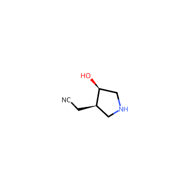 N#CC[C@@H]1CNC[C@@H]1O